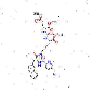 CC(C)(C)OC(=O)CC[C@@H](NC(=O)N[C@@H](CCCCNC(=O)[C@H](Cc1ccc2ccccc2c1)NC(=O)c1ccc(CN)cn1)C(=O)OC(C)(C)C)C(=O)OC(C)(C)C